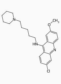 COc1ccc2nc3cc(Cl)ccc3c(NCCCCCN3CCCCC3)c2c1